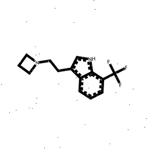 FC(F)(F)c1cccc2c(CCN3CCC3)c[nH]c12